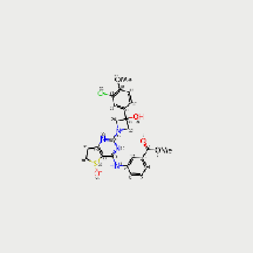 COC(=O)c1cccc(Nc2nc(N3CC(O)(c4ccc(OC)c(Cl)c4)C3)nc3c2[S@+]([O-])CC3)c1